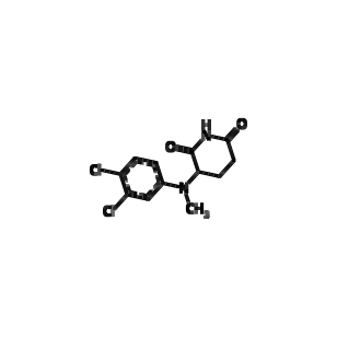 CN(c1ccc(Cl)c(Cl)c1)C1CCC(=O)NC1=O